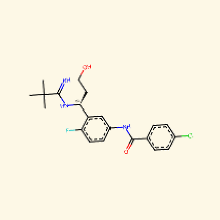 CC(C)(C)C(=N)N[C@@H](CCO)c1cc(NC(=O)c2ccc(Cl)cc2)ccc1F